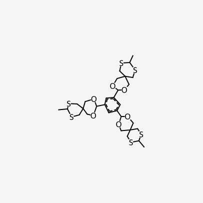 CC1SCC2(COC(c3cc(C4OCC5(CO4)CSC(C)SC5)cc(C4OCC5(CO4)CSC(C)SC5)c3)OC2)CS1